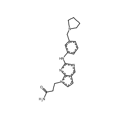 NC(=O)CCn1ccc2cnc(Nc3cccc(CN4CCCC4)c3)nc21